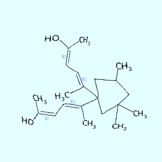 C/C(O)=C\C=C(/C)C1(/C(C)=C/C=C(\C)O)CC(C)CC(C)(C)C1